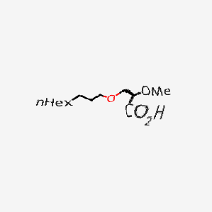 CCCCCCCCCOCC(OC)C(=O)O